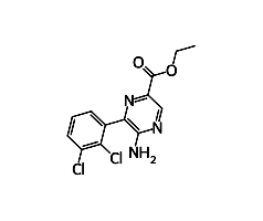 CCOC(=O)c1cnc(N)c(-c2cccc(Cl)c2Cl)n1